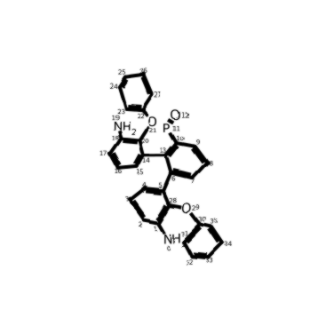 Nc1cccc(-c2cccc(P=O)c2-c2cccc(N)c2Oc2ccccc2)c1Oc1ccccc1